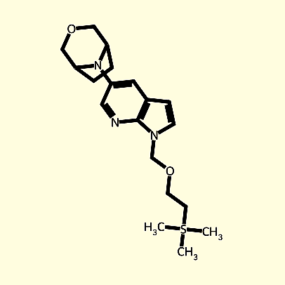 CS(C)(C)CCOCn1ccc2cc(N3C4CCC3COC4)cnc21